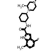 CC(=O)N1CCN([C@H]2CCC[C@@H](NC(=O)c3cc4c(F)ccc(C)c4[nH]3)C2)[C@@H](C)C1